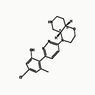 Cc1cc(Cl)cc(O)c1-c1ccc(N2CCO[C@H]3CCNC[C@H]32)nn1